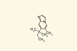 CCC(C)(C)c1cc2nccn2cc1C